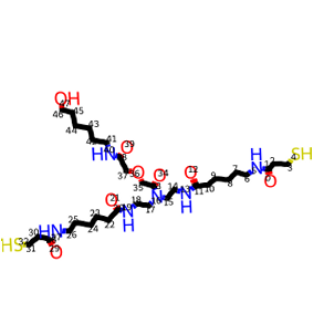 O=C(CCS)NCCCCCC(=O)NCCN(CCNC(=O)CCCCCNC(=O)CCS)C(=O)COCC(=O)NCCCCCCO